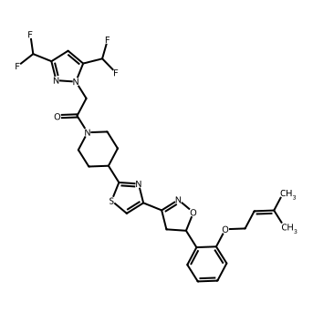 CC(C)=CCOc1ccccc1C1CC(c2csc(C3CCN(C(=O)Cn4nc(C(F)F)cc4C(F)F)CC3)n2)=NO1